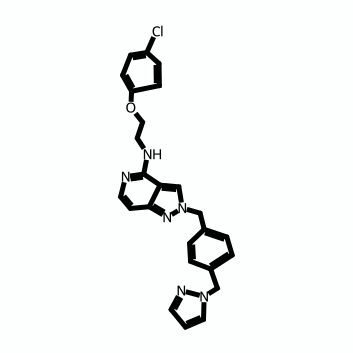 Clc1ccc(OCCNc2nccc3nn(Cc4ccc(Cn5cccn5)cc4)cc23)cc1